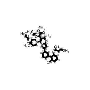 C=CCOC1(C)CCN(c2c(C(OC(C)(C)C)C(=O)OC)c(C)nc3cc(-c4cccc(-c5c(Cl)cccc5OC(C)CC=C)c4)nn23)CC1